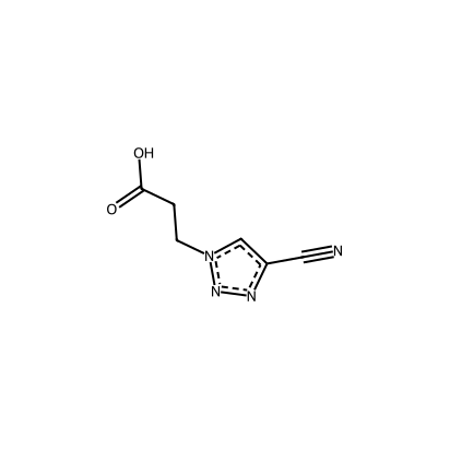 N#Cc1cn(CCC(=O)O)nn1